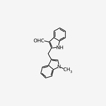 Cn1cc(Cc2[nH]c3ccccc3c2C=O)c2ccccc21